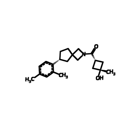 Cc1ccc([C@@H]2CCC3(C2)CN(C(=O)[C@H]2C[C@@](C)(O)C2)C3)c(C)c1